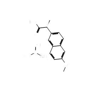 COc1ccc2cc([C@H](C)C(=O)O)ccc2c1.NP(O)O